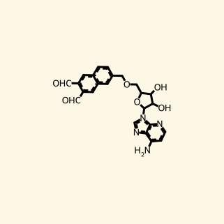 Nc1ccnc2c1ncn2C1OC(COCc2ccc3cc(C=O)c(C=O)cc3c2)C(O)C1O